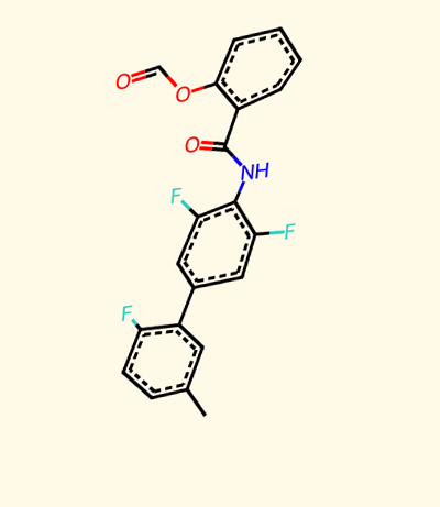 Cc1ccc(F)c(-c2cc(F)c(NC(=O)c3ccccc3OC=O)c(F)c2)c1